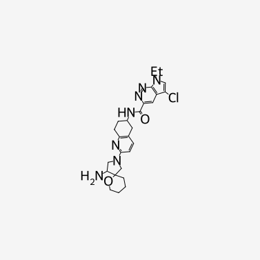 CCn1cc(Cl)c2cc(C(=O)NC3CCc4nc(N5CC(N)C6(CCCCO6)C5)ccc4C3)nnc21